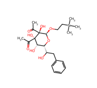 CC(=O)[C@]1(O)[C@@H](OCC[Si](C)(C)C)O[C@H](C(O)Cc2ccccc2)[C@H](O)[C@@]1(O)C(C)=O